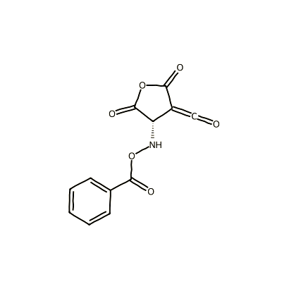 O=C=C1C(=O)OC(=O)[C@H]1NOC(=O)c1ccccc1